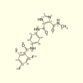 CNC(=O)c1nc[nH]c1C(=O)Nc1ccc(NC(=O)c2c(F)cc(F)cc2F)cc1